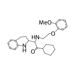 COc1ccccc1OCCNC(C(=O)C1CCCCC1)C1CCc2ccccc2N1